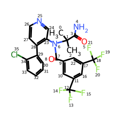 CC(C)(C(N)=O)N(C(=O)c1cc(C(F)(F)F)cc(C(F)(F)F)c1)c1cnccc1-c1ccccc1Cl